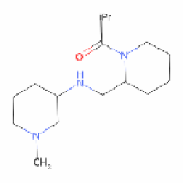 CC(C)C(=O)N1CCCCC1CNC1CCCN(C)C1